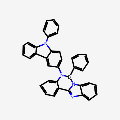 c1ccc(B2N(c3ccc4c(c3)c3ccccc3n4-c3ccccc3)c3ccccc3-c3nc4ccccc4n32)cc1